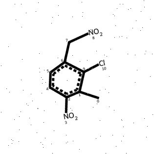 Cc1c([N+](=O)[O-])ccc(C[N+](=O)[O-])c1Cl